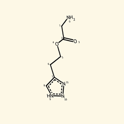 NCC(=O)OCCc1c[nH]nn1